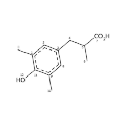 Cc1cc(CC(C)C(=O)O)cc(C)c1O